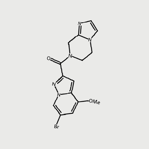 COc1cc(Br)cn2nc(C(=O)N3CCn4ccnc4C3)cc12